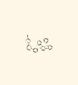 N#CC1=CCC(C2=CC=CC(c3cccc(N4C5=C(C=CCC5)C5C4C=CC4C6C=CC=CC6N(c6ccccc6)C45)c3)C2)N=C1